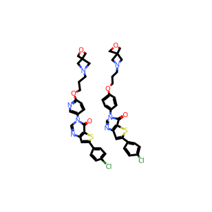 O=c1c2sc(-c3ccc(Cl)cc3)cc2ncn1-c1ccc(OCCCN2CC3(COC3)C2)cc1.O=c1c2sc(-c3ccc(Cl)cc3)cc2ncn1-c1ccc(OCCCN2CC3(COC3)C2)nc1